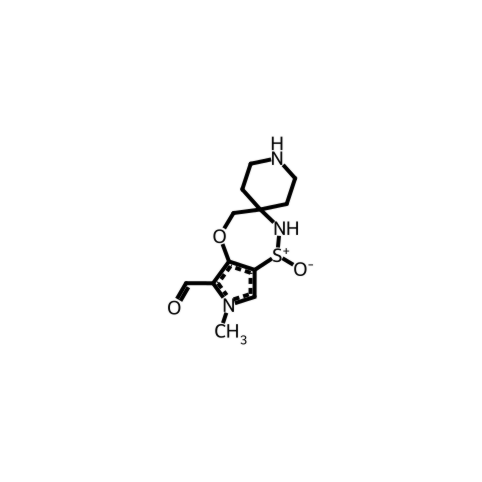 Cn1cc2c(c1C=O)OCC1(CCNCC1)N[S+]2[O-]